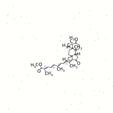 COC(=O)/C(C)=C/C=C/C(C)=C/C=C/C(C)=C1C(=O)C[C@H]2[C@@]3(C)CCC(=O)C(C)(C)[C@@H]3CC[C@]12C